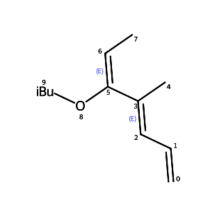 C=C/C=C(C)/C(=C\C)OC(C)CC